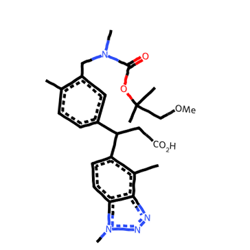 COCC(C)(C)OC(=O)N(C)Cc1cc(C(CC(=O)O)c2ccc3c(nnn3C)c2C)ccc1C